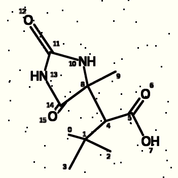 CC(C)(C)C(C(=O)O)C1(C)NC(=O)NC1=O